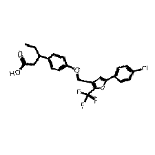 CCC(CC(=O)O)c1ccc(OCc2cc(-c3ccc(Cl)cc3)oc2C(F)(F)F)cc1